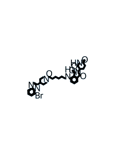 O=C1CCC(N2C(=O)c3cccc(NCCCCCC(=O)N4CCC(c5cnc6cccc(Br)c6n5)CC4)c3C2=O)C(=O)N1